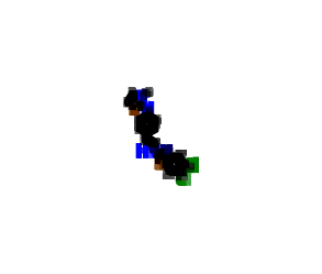 CN1CCS/C1=N\c1ccc(CCNc2nc3cc(Cl)c(Cl)cc3s2)cc1